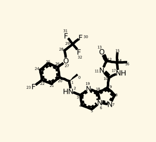 C[C@@H](Nc1ccn2ncc(C3=NC(=O)C(C)(C)N3)c2n1)c1cc(F)ccc1OCC(F)(F)F